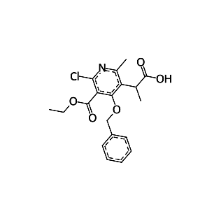 CCOC(=O)c1c(Cl)nc(C)c(C(C)C(=O)O)c1OCc1ccccc1